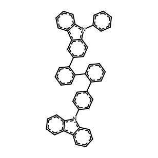 c1ccc(-n2c3ccccc3c3cc(-c4ccccc4-c4ccccc4-c4ccc(-n5c6ccccc6c6ccccc65)cc4)ccc32)cc1